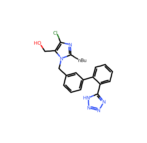 CCCCc1nc(Cl)c(CO)n1Cc1cccc(-c2ccccc2-c2nnn[nH]2)c1